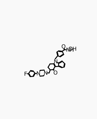 O=C(NO)c1ccc(Cn2c3c(c4ccccc42)C(=O)C(CN2CCN(c4ccc(F)cc4)CC2)CC3)cc1